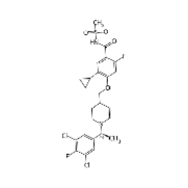 C[C@@H](c1cc(Cl)c(F)c(Cl)c1)N1CCC(COc2cc(F)c(C(=O)NS(C)(=O)=O)cc2C2CC2)CC1